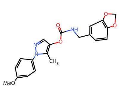 COc1ccc(-n2ncc(OC(=O)NCc3ccc4c(c3)OCO4)c2C)cc1